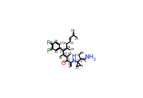 C=C(NC1(/C(=C/N)CC)CC1)C(=O)/C(C)=C(C)/C(=C(\C)CCCC(C)C)c1ccc(F)c(F)c1